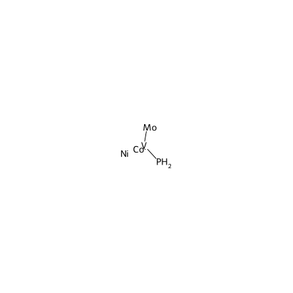 [Co].[Ni].[PH2][V][Mo]